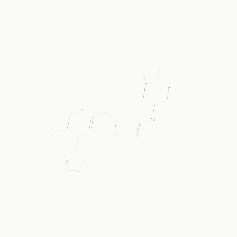 Cc1ccc(Nc2ncc(C#N)c(NC3CC(C)(C)N(C)C(C)(C)C3)n2)cc1-n1cnnn1